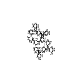 c1ccc(-c2cc(-c3cccc(N(c4ccccc4)c4ccc(C(c5ccccc5)c5ccccc5)cc4)c3)cc(-c3cccc(N(c4ccccc4)c4ccc(N(c5ccccc5)c5ccccc5)cc4)c3)c2)cc1